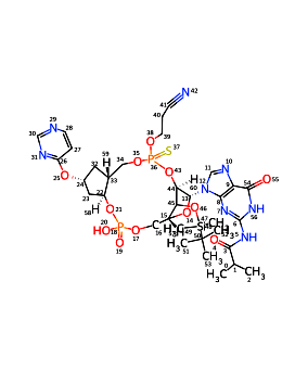 CC(C)C(=O)Nc1nc2c(ncn2[C@@H]2O[C@@H]3COP(=O)(O)O[C@H]4C[C@H](Oc5ccncn5)C[C@@H]4COP(=S)(OCCC#N)O[C@@H]2C3O[Si](C)(C)C(C)(C)C)c(=O)[nH]1